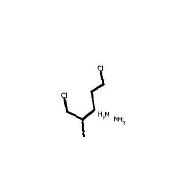 CC(CCl)CCCCl.N.N